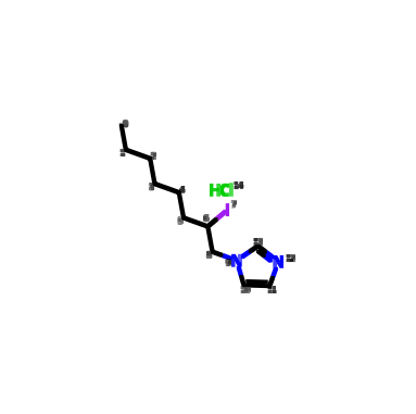 CCCCCCC(I)Cn1ccnc1.Cl